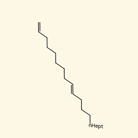 C=CCCCCCC/C=C/CCCCCCCCCC